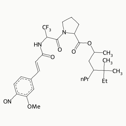 CCCC(CC(C)OC(=O)C1CCCN1C(=O)C(NC(=O)/C=C/c1ccc(N=O)c(OC)c1)C(F)(F)F)C(C)(C)CC